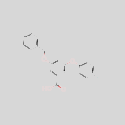 O=C(O)c1cc(OCc2ccccc2)cc(Oc2ccc(F)cc2)c1